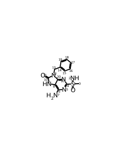 CS(=N)(=O)c1nc(N)c2[nH]c(=O)n(Cc3ccccc3)c2n1